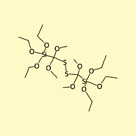 CCO[Si](OCC)(OCC)C(OC)(OC)SSC(OC)(OC)[Si](OCC)(OCC)OCC